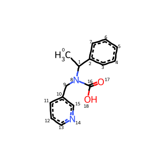 CC(c1ccccc1)N(Cc1cccnc1)C(=O)O